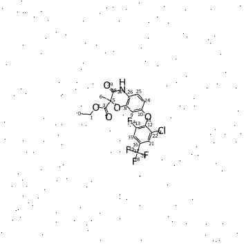 CCOC(=O)C1(C)Oc2cc(Oc3c(F)cc(C(F)(F)F)cc3Cl)ccc2NC1=O